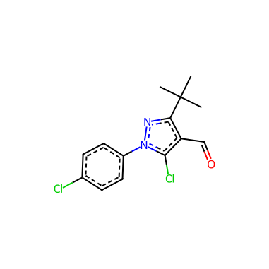 CC(C)(C)c1nn(-c2ccc(Cl)cc2)c(Cl)c1C=O